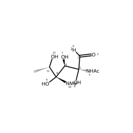 [2H]C(=O)[C@](O)(NC(C)=O)[C@H](O)[C@@](O)(NC)[C@H](C)O